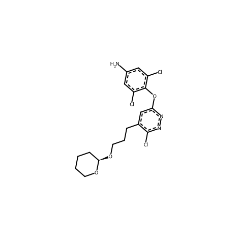 Nc1cc(Cl)c(Oc2cc(CCCO[C@@H]3CCCCO3)c(Cl)nn2)c(Cl)c1